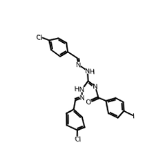 O=C(N=C(N/N=C/c1ccc(Cl)cc1)N/N=C/c1ccc(Cl)cc1)c1ccc(I)cc1